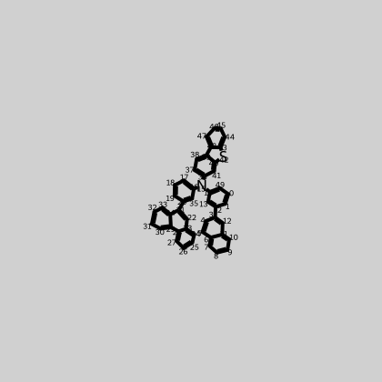 c1cc(-c2ccc3ccccc3c2)cc(N(c2cccc(-c3cc4ccccc4c4ccccc34)c2)c2ccc3c(c2)sc2ccccc23)c1